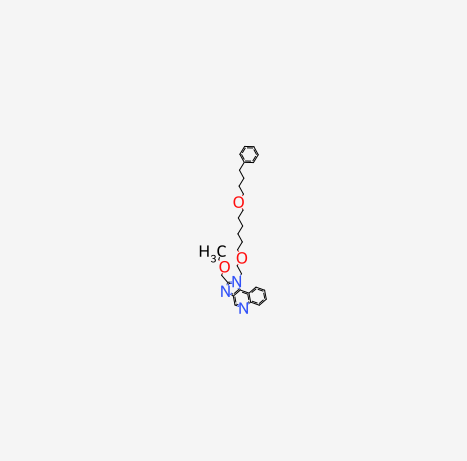 CCOCc1nc2cnc3ccccc3c2n1CCOCCCCCCOCCCCc1ccccc1